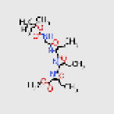 CCc1oc(-c2nc(-c3nc(CNC(=O)OC(C)(C)C)oc3CC)oc2CC)nc1C(=O)OC